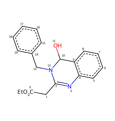 CCOC(=O)CC1=Nc2ccccc2C(O)N1Cc1ccccc1